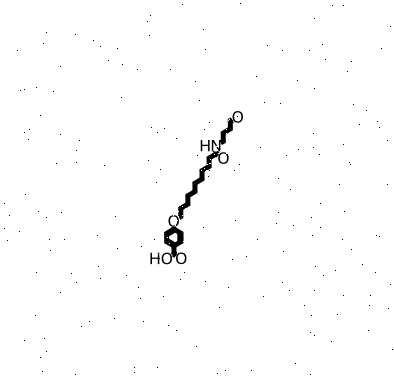 O=CCCCNC(=O)CCCCCCCCCCOc1ccc(C(=O)O)cc1